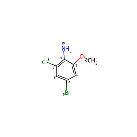 COc1cc(Br)cc(Cl)c1N